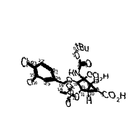 CC(C)(C)OC(=O)N[C@]1(C(=O)O)[C@@H]2[C@@H](C(=O)O)[C@@H]2[C@@H](OS(C)(=O)=O)[C@H]1OCc1ccc(Cl)c(Cl)c1